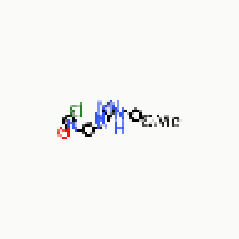 COc1ccc(CNc2ncnc3nn(Cc4ccc(Cn5cc(Cl)ccc5=O)cc4)cc23)cc1